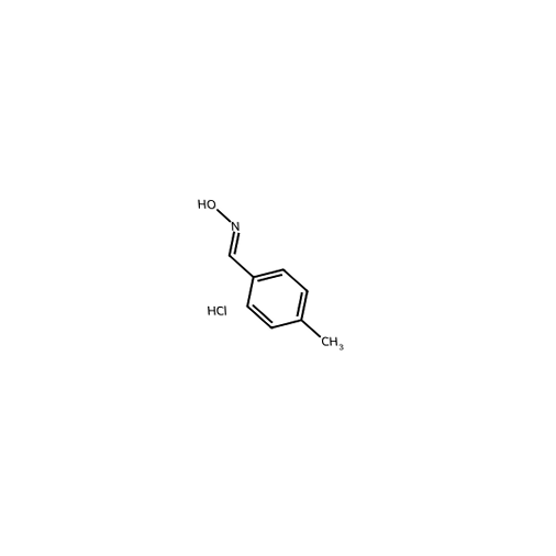 Cc1ccc(C=NO)cc1.Cl